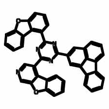 c1ccc2c(c1)-c1cccc3cc(-c4nc(-c5cccc6oc7ccccc7c56)nc(-c5cncc6oc7ccccc7c56)n4)cc-2c13